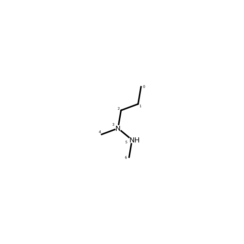 CCCN(C)NC